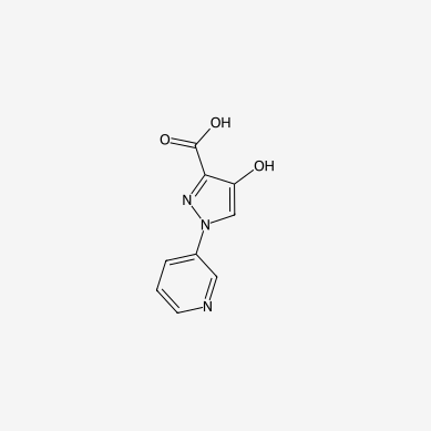 O=C(O)c1nn(-c2cccnc2)cc1O